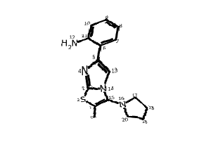 Cc1sc2nc(-c3ccccc3N)cn2c1N1CCCC1